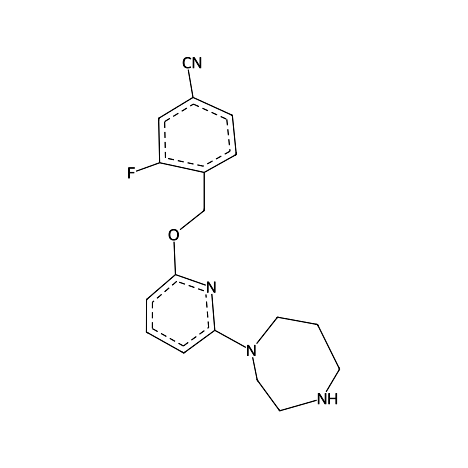 N#Cc1ccc(COc2cccc(N3CCCNCC3)n2)c(F)c1